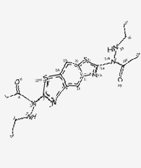 CCNN(C(C)=O)c1nc2cc3nc(N(NCC)C(C)=O)sc3cc2s1